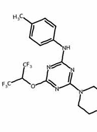 Cc1ccc(Nc2nc(OC(C(F)(F)F)C(F)(F)F)nc(N3CCCCC3)n2)cc1